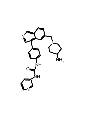 NC1CCN(Cc2ccc3cncc(-c4ccc(NC(=O)Nc5cccnc5)cc4)c3c2)CC1